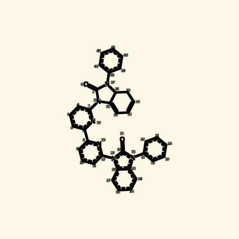 O=C1N(c2cccc(-c3cccc(-n4c(=O)n(-c5ccccc5)c5ccccc54)n3)n2)C2=CC=CCC2N1c1ccccc1